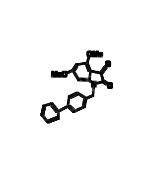 COc1cc(OC)c2c(c1)N(Cc1ccc(-c3ccccc3)cc1)C(=O)C2=O